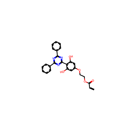 C=CC(=O)OCCOc1cc(O)c(-c2nc(-c3ccccc3)nc(-c3ccccc3)n2)c(O)c1